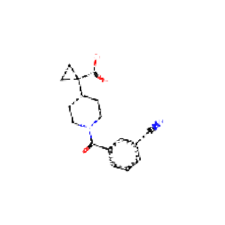 N#Cc1cccc(C(=O)N2CCC(C3(C(=O)O)CC3)CC2)c1